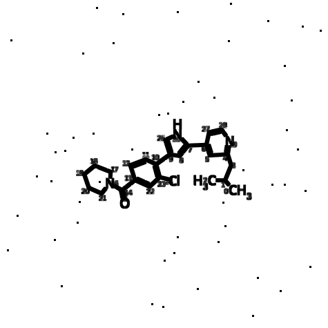 CC(C)Cc1cc(-c2cc(-c3ccc(C(=O)N4CCCCC4)cc3Cl)c[nH]2)ccn1